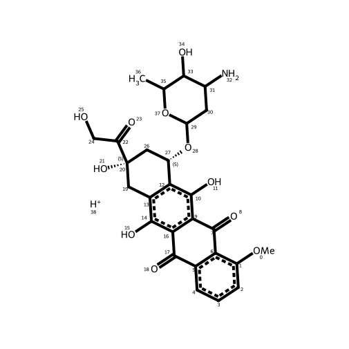 COc1cccc2c1C(=O)c1c(O)c3c(c(O)c1C2=O)C[C@@](O)(C(=O)CO)C[C@@H]3OC1CC(N)C(O)C(C)O1.[H+]